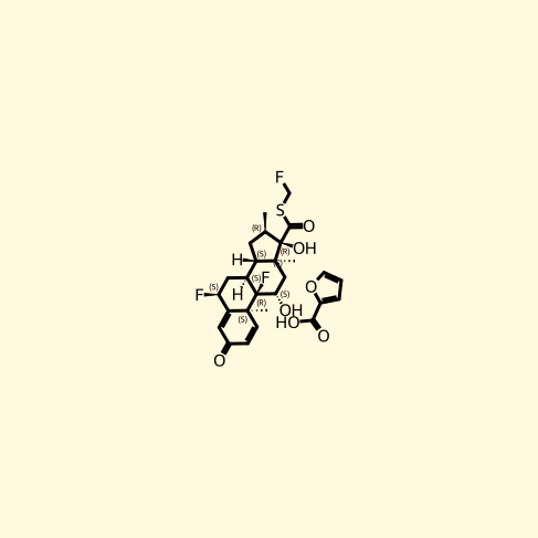 C[C@@H]1C[C@H]2[C@@H]3C[C@H](F)C4=CC(=O)C=C[C@]4(C)[C@@]3(F)[C@@H](O)C[C@]2(C)[C@@]1(O)C(=O)SCF.O=C(O)c1ccco1